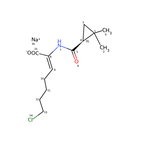 CC1(C)C[C@@H]1C(=O)NC(=CCCCCCl)C(=O)[O-].[Na+]